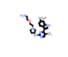 NCCOCCN1CC[C@@H](Nc2ncc(C(F)(F)F)c(-c3c[nH]c4cc(C(=O)O)ccc34)n2)C1